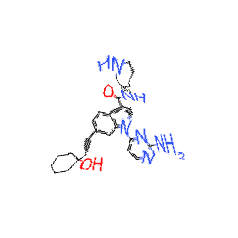 Nc1nccc(-n2cc(C(=O)N[C@H]3CCCNC3)c3ccc(C#CC4(O)CCCCC4)cc32)n1